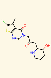 Cc1c(Cl)sc2ncn(CC(=O)CC3NCCCC3O)c(=O)c12